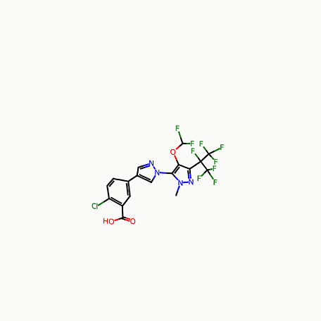 Cn1nc(C(F)(C(F)(F)F)C(F)(F)F)c(OC(F)F)c1-n1cc(-c2ccc(Cl)c(C(=O)O)c2)cn1